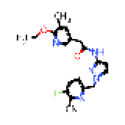 Cc1cc(CC(=O)Nc2ccn(Cc3ccc(F)c(C#N)n3)n2)cnc1OCC(F)(F)F